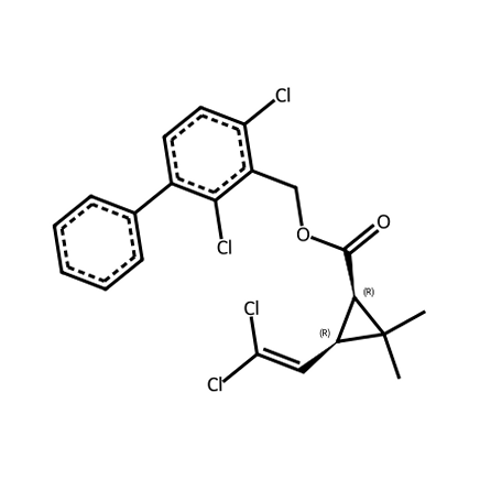 CC1(C)[C@H](C(=O)OCc2c(Cl)ccc(-c3ccccc3)c2Cl)[C@@H]1C=C(Cl)Cl